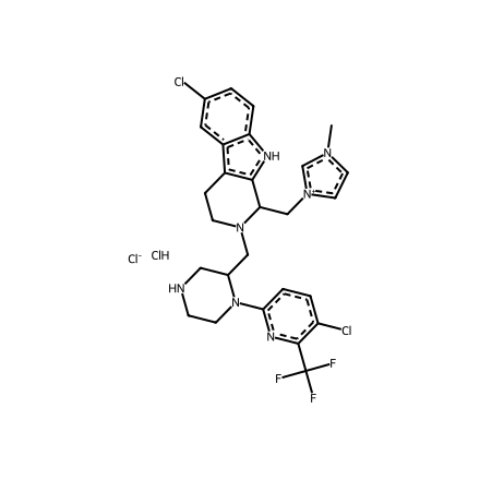 Cl.Cn1cc[n+](CC2c3[nH]c4ccc(Cl)cc4c3CCN2CC2CNCCN2c2ccc(Cl)c(C(F)(F)F)n2)c1.[Cl-]